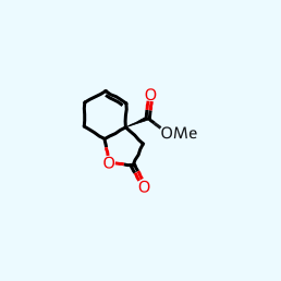 COC(=O)[C@]12C=CCCC1OC(=O)C2